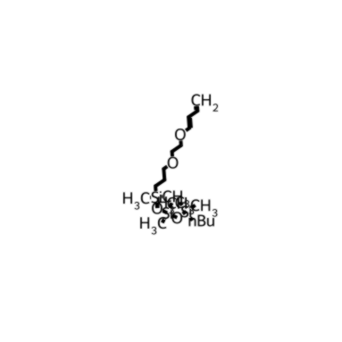 C=CC=COCCOCCC[Si](C)(C)O[Si](C)(C)O[Si](C)(C)CCCC